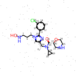 C[C@H](c1cn(CCCNO)c(-c2cccc(Cl)c2)n1)N(C(=O)[C@H]1CNCCO1)C1CC1